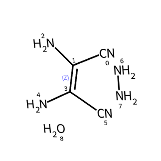 N#C/C(N)=C(/N)C#N.NN.O